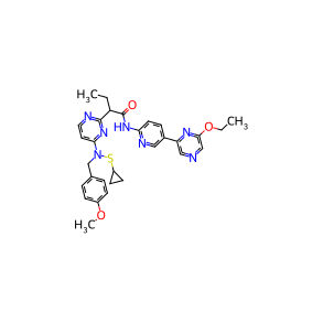 CCOc1cncc(-c2ccc(NC(=O)C(CC)c3nccc(N(Cc4ccc(OC)cc4)SC4CC4)n3)nc2)n1